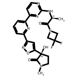 C[C@H](Nc1nccc(-c2cccc(-c3cc([C@]4(O)CCN(C)C4=O)on3)n2)n1)C(=O)N1CC(F)(F)C1